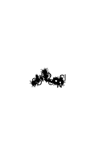 CN(CCN(CCOc1ccc2c(Cl)ccnc2c1)C(=O)OC(C)(C)C)C(=O)OC(C)(C)C